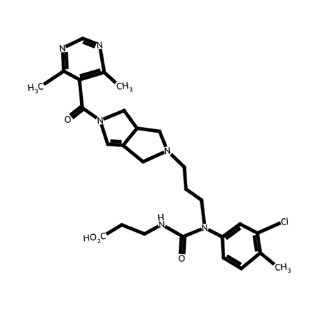 Cc1ccc(N(CCCN2CC3=CN(C(=O)c4c(C)ncnc4C)CC3C2)C(=O)NCCC(=O)O)cc1Cl